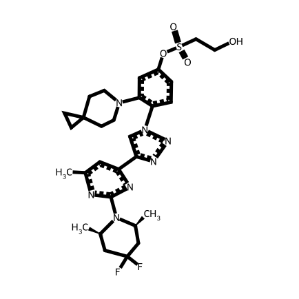 Cc1cc(-c2cn(-c3ccc(OS(=O)(=O)CCO)cc3N3CCC4(CC3)CC4)nn2)nc(N2[C@H](C)CC(F)(F)C[C@@H]2C)n1